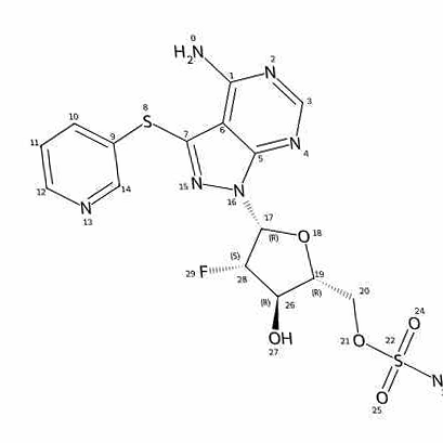 Nc1ncnc2c1c(Sc1cccnc1)nn2[C@@H]1O[C@H](COS(N)(=O)=O)[C@@H](O)[C@@H]1F